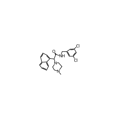 CN1CCN(C(C(=O)NCc2cc(Cl)cc(Cl)c2)c2cccc3ccccc23)CC1